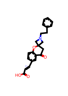 O=C(O)/C=C/c1ccc2c(c1)C(=O)CC1(CN(CCc3ccccc3)C1)O2